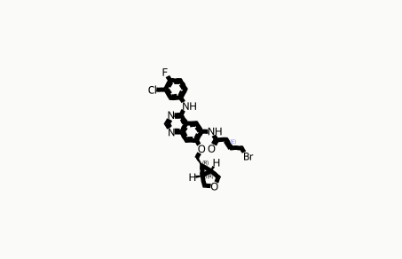 O=C(/C=C/CBr)Nc1cc2c(Nc3ccc(F)c(Cl)c3)ncnc2cc1OC[C@H]1[C@@H]2COC[C@@H]21